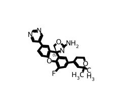 CC1(C)C=C(c2cc(F)c3c(c2)[C@]2(COC(N)=N2)c2cc(-c4cncnc4)ccc2O3)CCO1